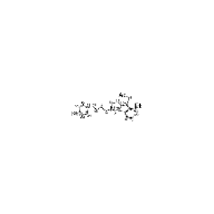 CCc1cccc2c1N(CC(C)=O)C1CCN(CCCCc3ccc(F)cc3)CC21